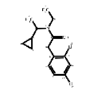 CC(C1CC1)N(CC(F)(F)F)C(=O)Cc1ccc(Cl)cc1Cl